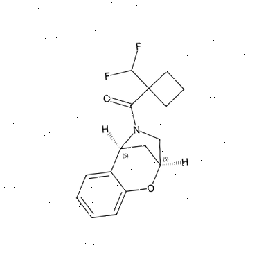 O=C(N1C[C@@H]2C[C@H]1c1ccccc1O2)C1(C(F)F)CCC1